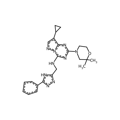 CC1(C)CN(c2nc(NCc3nnc(-c4ccccc4)[nH]3)n3ncc(C4CC4)c3n2)CCO1